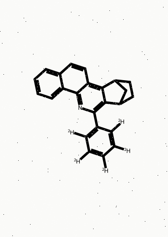 [2H]c1c([2H])c([2H])c(-c2nc3c(ccc4ccccc43)c3c2C2CCC3C2)c([2H])c1[2H]